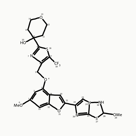 COc1cc(OCc2nc(C3(O)CCOCC3)sc2C(F)(F)F)c2cc(-c3cn4c(n3)SC(OC)N4)oc2c1